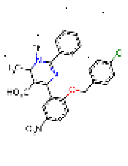 CCN1C(c2ccccc2)=NC(c2cc([N+](=O)[O-])ccc2OCc2ccc(Cl)cc2)=C(C(=O)O)C1C